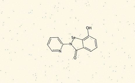 O=c1c2cccc(O)c2[se]n1-c1ccccn1